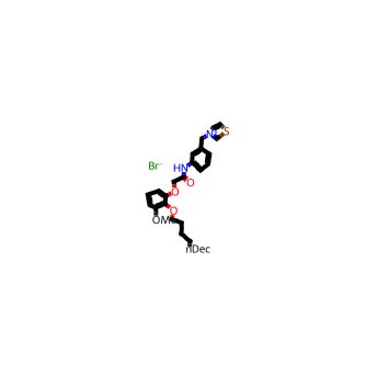 CCCCCCCCCCCCCCOc1c(OC)cccc1OCC(=O)Nc1cccc(C[n+]2ccsc2)c1.[Br-]